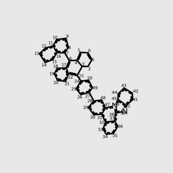 C1=CCC2C(=C1)C(c1cccc3ccccc13)=c1ccccc1=C2c1ccc(-c2ccc3c4ccccc4c4nc5ccccc5n4c3c2)cc1